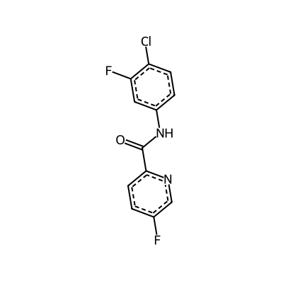 O=C(Nc1ccc(Cl)c(F)c1)c1ccc(F)cn1